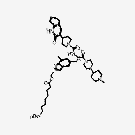 CCCCCCCCCCCCCCCCCC(=O)OCn1cc2cc(C[C@@H](NC(=O)N3CCC(c4cc5ccccc5[nH]c4=O)CC3)C(=O)N3CCN(C4CCN(C)CC4)CC3)cc(C)c2n1